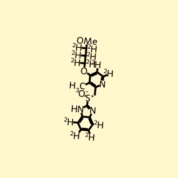 [2H]c1nc(C[S+]([O-])c2nc3c([2H])c([2H])c([2H])c([2H])c3[nH]2)c(C)c(OC([2H])([2H])C([2H])([2H])C([2H])([2H])OC)c1[2H]